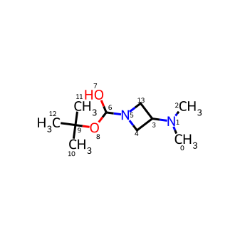 CN(C)C1CN(C(O)OC(C)(C)C)C1